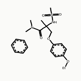 CCOc1ccc(OCC(C)(NS(C)(=O)=O)C(=O)N(C)C)cc1.c1ccccc1